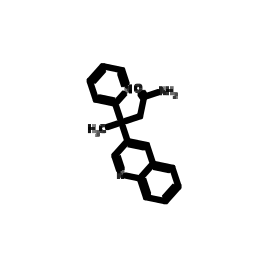 CC(CC(N)=O)(c1cnc2ccccc2c1)c1ccccn1